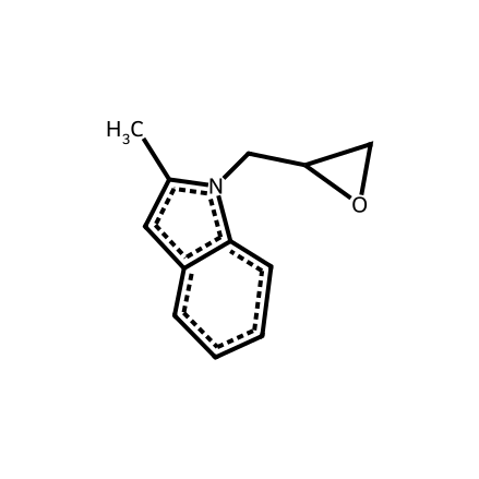 Cc1cc2ccccc2n1CC1CO1